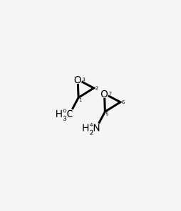 CC1CO1.NC1CO1